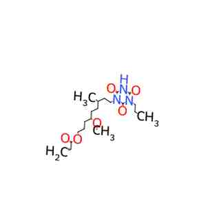 C=CC(=O)OCCCC(CCC(C)CCn1c(=O)[nH]c(=O)n(CCC)c1=O)OC